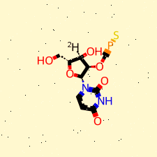 [2H][C@@]1(O)[C@@H](CO)O[C@@H](n2ccc(=O)[nH]c2=O)[C@@H]1OC#P=S